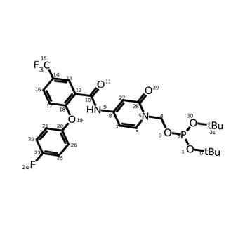 CC(C)(C)OP(OCn1ccc(NC(=O)c2cc(C(F)(F)F)ccc2Oc2ccc(F)cc2)cc1=O)OC(C)(C)C